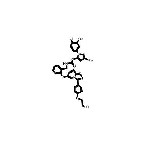 CC(C)(C)c1cc(NC(=O)NCc2ccccc2Sc2ccc3nnc(-c4ccc(OCCO)cc4)n3c2)n(-c2ccc(Cl)c(O)c2)n1